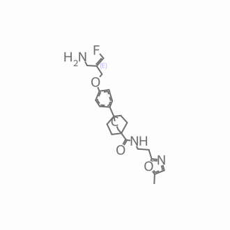 Cc1cnc(CCNC(=O)C23CCC(c4ccc(OC/C(=C/F)CN)cc4)(CC2)CC3)o1